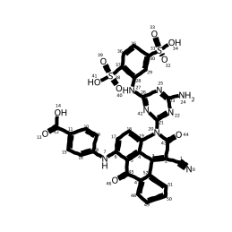 N#Cc1c2c3c(c(Nc4ccc(C(=O)O)cc4)ccc3n(-c3nc(N)nc(Nc4cc(S(=O)(=O)O)ccc4S(=O)(=O)O)n3)c1=O)C(=O)c1ccccc1-2